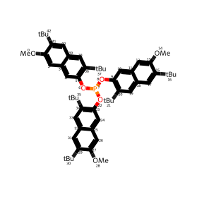 COc1cc2cc(OP(Oc3cc4cc(OC)c(C(C)(C)C)cc4cc3C(C)(C)C)Oc3cc4cc(OC)c(C(C)(C)C)cc4cc3C(C)(C)C)c(C(C)(C)C)cc2cc1C(C)(C)C